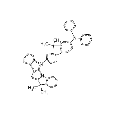 CC1(C)c2cc(N(c3ccccc3)c3ccccc3)ccc2-c2ccc(-n3c4ccccc4c4cc5n(c43)-c3ccccc3C5(C)C)cc21